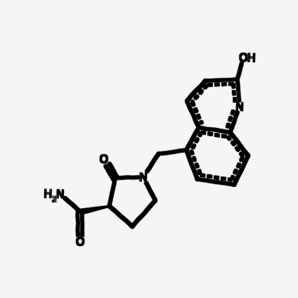 NC(=O)[C@@H]1CCN(Cc2cccc3nc(O)ccc23)C1=O